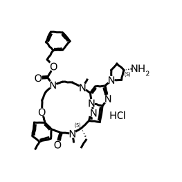 CC[C@H]1c2cc3nc(N4CC[C@H](N)C4)cc(n3n2)N(C)CCN(C(=O)OCc2ccccc2)CCOc2ccc(C)cc2C(=O)N1C.Cl